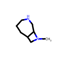 CN1CC2CCCNCC21